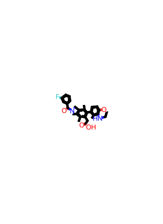 Cc1c2c(c(C)c(-c3ccc4c(c3C)NCCO4)c1CC(=O)O)CN(C(=O)c1cccc(F)c1)C2